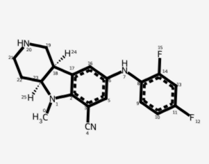 CN1c2c(C#N)cc(Nc3ccc(F)cc3F)cc2[C@@H]2CNCC[C@@H]21